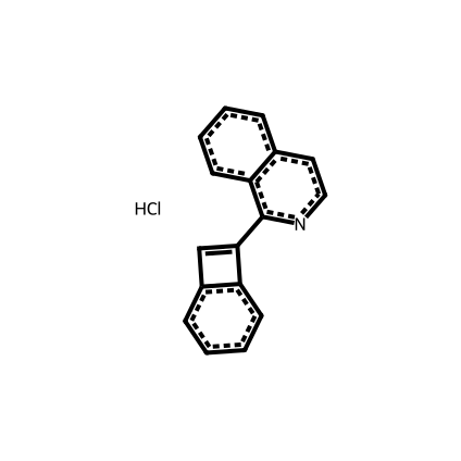 C1=C(c2nccc3ccccc23)c2ccccc21.Cl